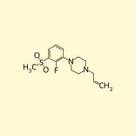 C=CCN1CCN(c2cccc(S(C)(=O)=O)c2F)CC1